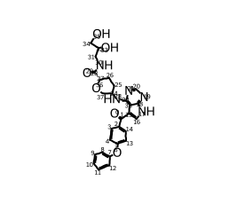 O=C(c1ccc(Oc2ccccc2)cc1)c1c[nH]c2ncnc(N[C@@H]3CC[C@@H](C(=O)NCC(O)CO)OC3)c12